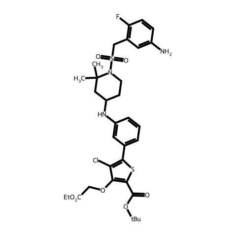 CCOC(=O)COc1c(C(=O)OC(C)(C)C)sc(-c2cccc(NC3CCN(S(=O)(=O)Cc4cc(N)ccc4F)C(C)(C)C3)c2)c1Cl